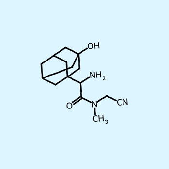 CN(CC#N)C(=O)C(N)C12CC3CC(CC(O)(C3)C1)C2